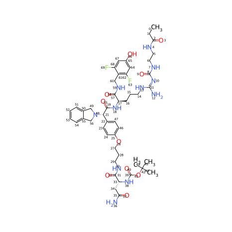 CCC(=O)NCCNC(=O)/N=C(/N)NCCC[C@@H](NC(=O)[C@H](c1ccc(OCCCNC(=O)[C@@H](CC(N)=O)NC(=O)OC(C)(C)C)cc1)N1Cc2ccccc2C1)C(=O)NCc1c(F)cc(O)cc1F